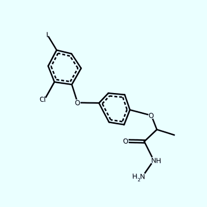 CC(Oc1ccc(Oc2ccc(I)cc2Cl)cc1)C(=O)NN